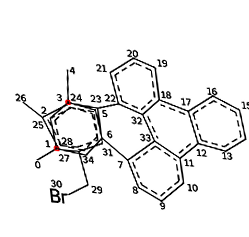 Cc1cc(C)cc(-c2cccc3c4ccccc4c4cccc(-c5cc(C)cc(CBr)c5)c4c23)c1